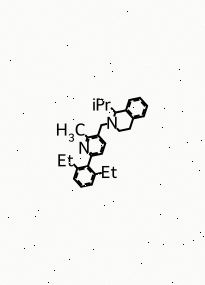 CCc1cccc(CC)c1-c1ccc(CN2CCc3ccccc3C2C(C)C)c(C)n1